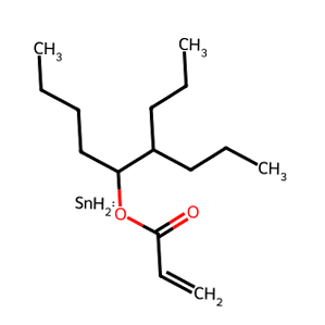 C=CC(=O)OC(CCCC)C(CCC)CCC.[SnH2]